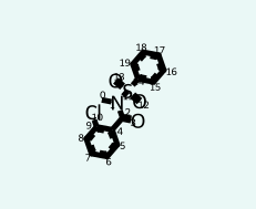 CN(C(=O)c1ccccc1Cl)S(=O)(=O)c1ccccc1